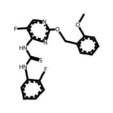 COc1ccccc1COc1ncc(F)c(NC(=S)Nc2ccccc2F)n1